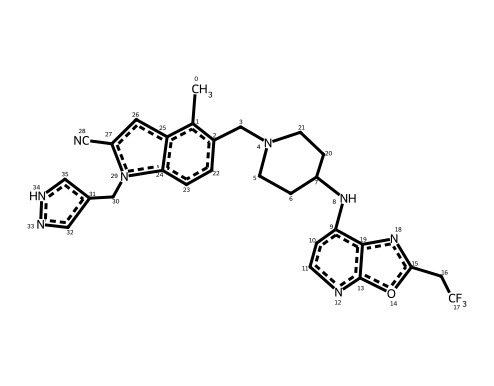 Cc1c(CN2CCC(Nc3ccnc4oc(CC(F)(F)F)nc34)CC2)ccc2c1cc(C#N)n2Cc1cn[nH]c1